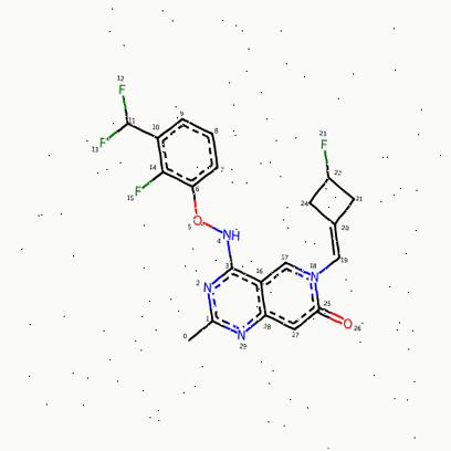 Cc1nc(NOc2cccc(C(F)F)c2F)c2cn(C=C3CC(F)C3)c(=O)cc2n1